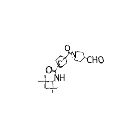 CC1(C)CC(C)(C)C1NC(=O)C12CCC(C(=O)N3CCC(C=O)CC3)(CC1)CC2